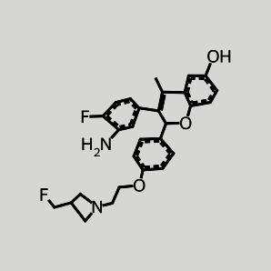 CC1=C(c2ccc(F)c(N)c2)C(c2ccc(OCCN3CC(CF)C3)cc2)Oc2ccc(O)cc21